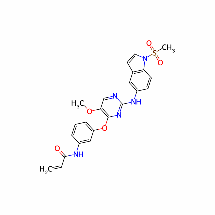 C=CC(=O)Nc1cccc(Oc2nc(Nc3ccc4c(ccn4S(C)(=O)=O)c3)ncc2OC)c1